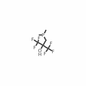 CP(C)CC(O)(C(F)(F)F)C(F)(F)F